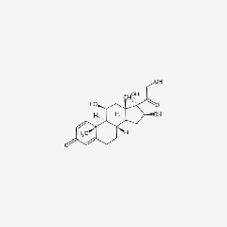 C[C@]12C=CC(=O)C=C1CC[C@@H]1[C@@H]2[C@@H](O)C[C@@]2(C)[C@H]1C[C@H](O)[C@]2(O)C(=O)CO